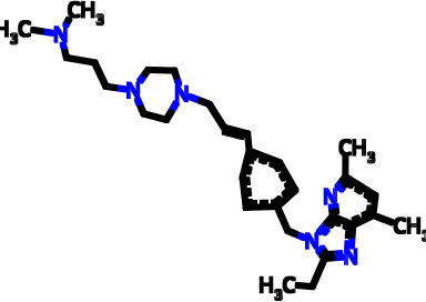 CCc1nc2c(C)cc(C)nc2n1Cc1ccc(/C=C/CN2CCN(CCCN(C)C)CC2)cc1